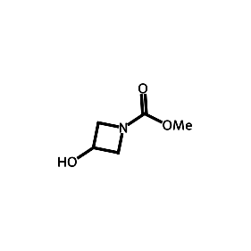 [CH2]OC(=O)N1CC(O)C1